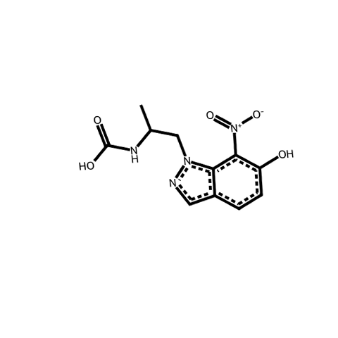 CC(Cn1ncc2ccc(O)c([N+](=O)[O-])c21)NC(=O)O